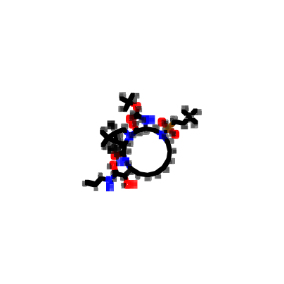 C=CCNC(=O)C(O)[C@@H]1CCCCCCCN(S(=O)(=O)CC[Si](C)(C)C)C[C@H](NC(=O)OC(C)(C)C)C(=O)N2C[C@H]3[C@@H]([C@H]2C(=O)N1)C3(C)C